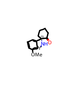 CCCN[C@]1(c2cccc(OC)c2)CCCCC1=O